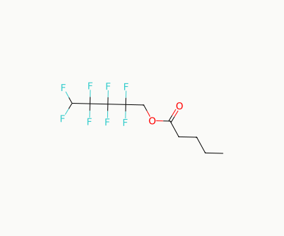 CCCCC(=O)OCC(F)(F)C(F)(F)C(F)(F)C(F)F